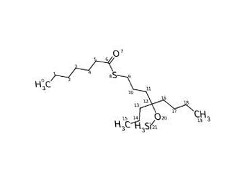 CCCCCCC(=O)SCCCC(CCC)(CCCC)O[SiH3]